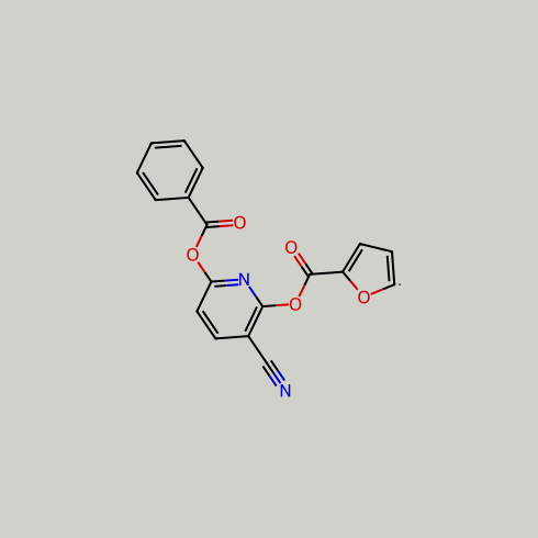 N#Cc1ccc(OC(=O)c2ccccc2)nc1OC(=O)c1cc[c]o1